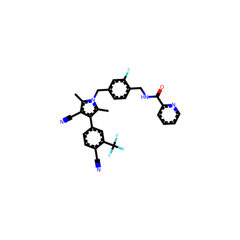 Cc1c(C#N)c(-c2ccc(C#N)c(C(F)(F)F)c2)c(C)n1Cc1ccc(CNC(=O)c2ccccn2)c(F)c1